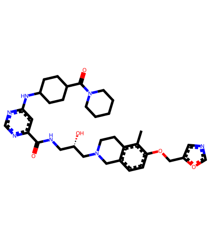 Cc1c(OCc2cnco2)ccc2c1CCN(C[C@@H](O)CNC(=O)c1cc(NC3CCC(C(=O)N4CCCCC4)CC3)ncn1)C2